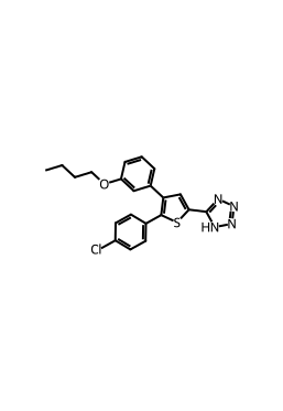 CCCCOc1cccc(-c2cc(-c3nnn[nH]3)sc2-c2ccc(Cl)cc2)c1